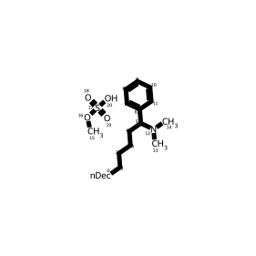 CCCCCCCCCCCCCCC(c1ccccc1)N(C)C.COS(=O)(=O)O